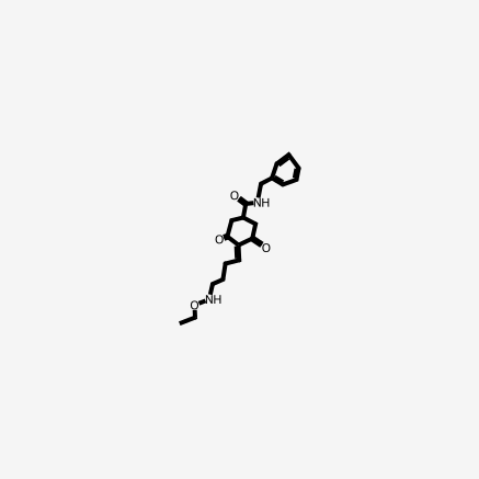 CCONCCCC=C1C(=O)CC(C(=O)NCc2ccccc2)CC1=O